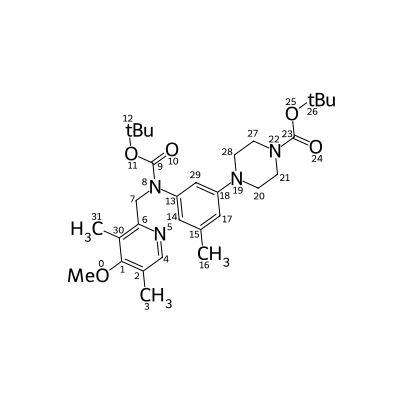 COc1c(C)cnc(CN(C(=O)OC(C)(C)C)c2cc(C)cc(N3CCN(C(=O)OC(C)(C)C)CC3)c2)c1C